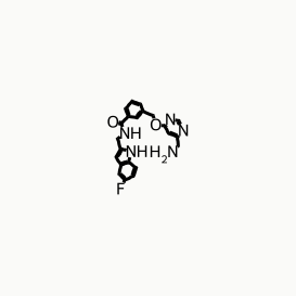 NCc1cc(OCc2cccc(C(=O)NCc3cc4cc(F)ccc4[nH]3)c2)ncn1